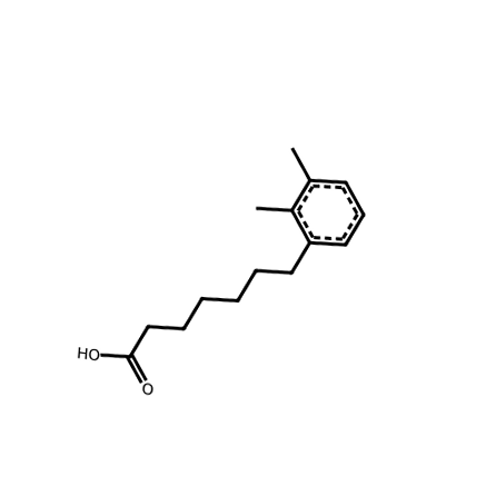 Cc1cccc(CCCCCCC(=O)O)c1C